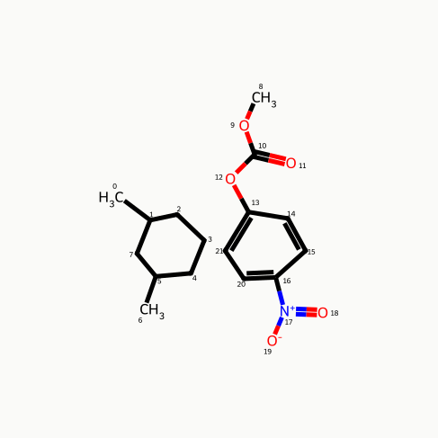 CC1CCCC(C)C1.COC(=O)Oc1ccc([N+](=O)[O-])cc1